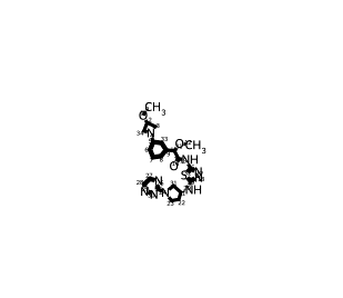 COC1CN(c2cccc(C(OC)C(=O)Nc3nnc(N[C@@H]4CCN(c5nccnn5)C4)s3)c2)C1